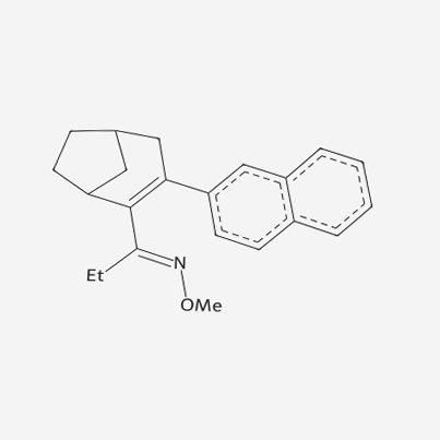 CCC(=NOC)C1=C(c2ccc3ccccc3c2)CC2CCC1C2